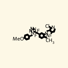 COc1ccc(Cn2nnnc2C(F)(F)c2ccc3c(C)nn(Cc4c(I)ccnc4Cl)c3c2)cc1